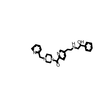 O=C(c1ccc(CCNCC(O)c2ccccc2)cn1)N1CCN(Cc2ccccn2)CC1